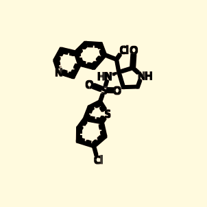 O=C1NCC[C@@]1(NS(=O)(=O)c1cc2ccc(Cl)cc2s1)C(Cl)c1ccc2ccncc2c1